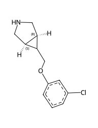 Clc1cccc(OCC2[C@H]3CNC[C@@H]23)c1